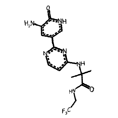 CC(C)(Nc1ccnc(-c2c[nH]c(=O)c(N)c2)n1)C(=O)NCC(F)(F)F